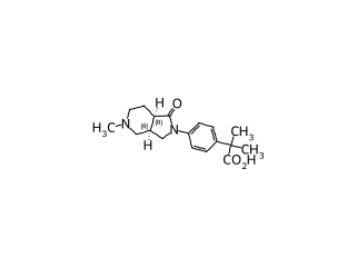 CN1CC[C@H]2C(=O)N(c3ccc(C(C)(C)C(=O)O)cc3)C[C@H]2C1